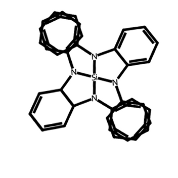 C1=CC2C(C=C1)N(c1ccccc1)[Si]1(N(c3ccccc3)c3ccccc3N1c1ccccc1)N2c1ccccc1